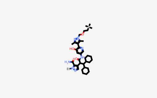 CCn1ncc(C(C(=O)Nc2cnc(-c3c(C)nn(COCC[Si](C)(C)C)c3C)c(O)c2)C(C2CCCCC2)C2CCCCC2)c1C(N)=O